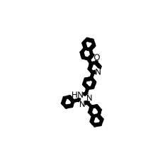 c1ccc(C2N=C(c3ccc4ccccc4c3)N=C(c3ccc(-c4cc5c(cn4)oc4c6ccccc6ccc54)cc3)N2)cc1